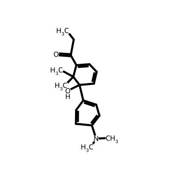 CCC(=O)C1=CC=CC(O)(c2ccc(N(C)C)cc2)C1(C)C